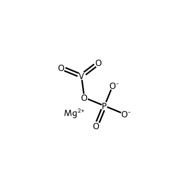 [Mg+2].[O]=[V](=[O])[O]P(=O)([O-])[O-]